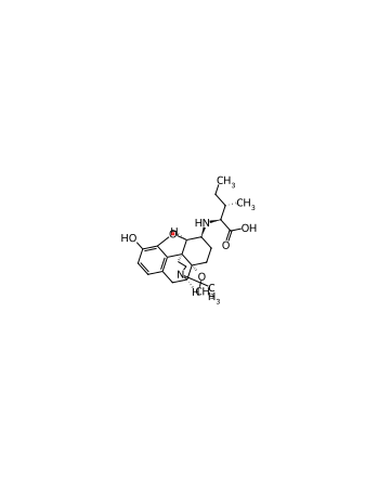 CC[C@H](C)[C@H](N[C@H]1CC[C@@]2(OC)[C@H]3Cc4ccc(O)c5c4[C@@]2(CCN3C)[C@H]1O5)C(=O)O